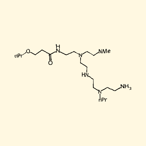 CCCOCCC(=O)NCCN(CCNC)CCNCCN(CCC)CCN